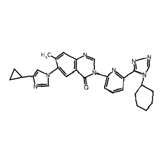 Cc1cc2ncn(-c3cccc(-c4nncn4C4CCCCC4)n3)c(=O)c2cc1-n1cnc(C2CC2)c1